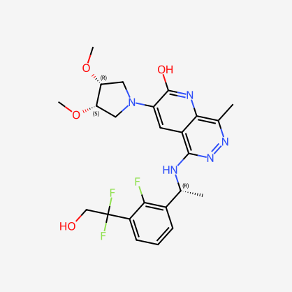 CO[C@H]1CN(c2cc3c(N[C@H](C)c4cccc(C(F)(F)CO)c4F)nnc(C)c3nc2O)C[C@H]1OC